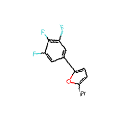 CC(C)c1ccc(-c2cc(F)c(F)c(F)c2)o1